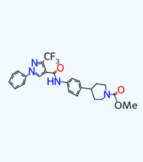 COC(=O)N1CCC(c2ccc(NC(=O)c3cn(-c4ccccc4)nc3C(F)(F)F)cc2)CC1